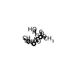 CCN1CCN(c2cccc3c2CN([C@H](CCCCO)c2ccc(OC)c(OC)c2)C3=O)CC1